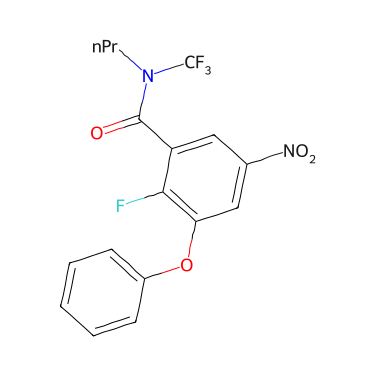 CCCN(C(=O)c1cc([N+](=O)[O-])cc(Oc2ccccc2)c1F)C(F)(F)F